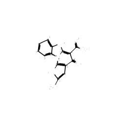 O=C(O)c1c(=O)c2cc(Br)sc2n2c1sc1ccccc12